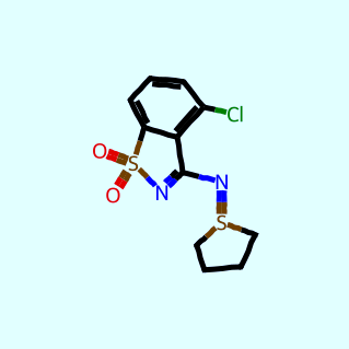 O=S1(=O)N=C(N=S2CCCC2)c2c(Cl)cccc21